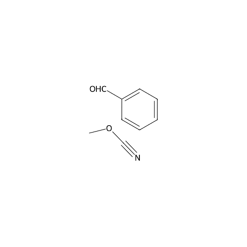 COC#N.O=Cc1ccccc1